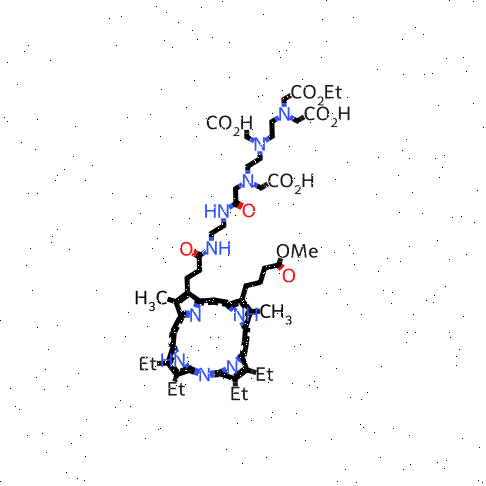 CCOC(=O)CN(CCN(CCN(CC(=O)O)CC(=O)NCCNC(=O)CCC1=C(C)c2cc3[nH]c(nc4nc(cc5[nH]c(cc1n2)c(CCCC(=O)OC)c5C)C(CC)=C4CC)c(CC)c3CC)CC(=O)O)CC(=O)O